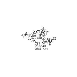 CCC(CO)OC(COC(=O)NCCC(=O)N[C@@H](C(=O)N[C@H](CCCNC(N)=O)C(=O)Nc1ccc(COC(=O)N(C)[C@H](C(=O)N[C@H](C(=O)N(C)[C@H](C(C)CC(=O)C2CCC[C@H]2[C@H](C)[C@@H](C)C(=O)N[C@H](C)[C@@H](O)c2ccccc2)[C@@H](C)CC)C(C)C)C(C)C)cc1)C(C)C)OC